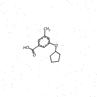 Cc1cc(OC2CCCC2)cc(C(=O)O)c1